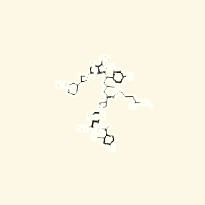 CC(C)N1CCCC(C2CN(c3cnc4c(C#N)nn(C(CC5CC(C6CN(c7cnc8c(C#N)nn(C(C)c9ccc(Cl)cc9Cl)c8n7)C6)CN(CCCC(N)=O)C5)c5ccc(Cl)cc5Cl)c4n3)C2)C1